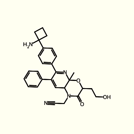 CC12N=C(c3ccc(C4(N)CCC4)cc3)C(c3ccccc3)=CC1N(CC#N)C(=O)C(CCO)O2